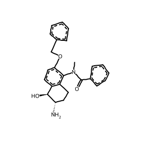 CN(C(=O)c1ccccc1)c1c(OCc2ccccc2)ccc2c1CC[C@H](N)[C@H]2O